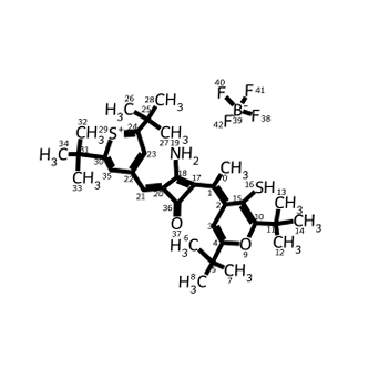 CC(=C1C=C(C(C)(C)C)OC(C(C)(C)C)=C1S)C1=C(N)C(=Cc2cc(C(C)(C)C)[s+]c(C(C)(C)C)c2)C1=O.F[B-](F)(F)F